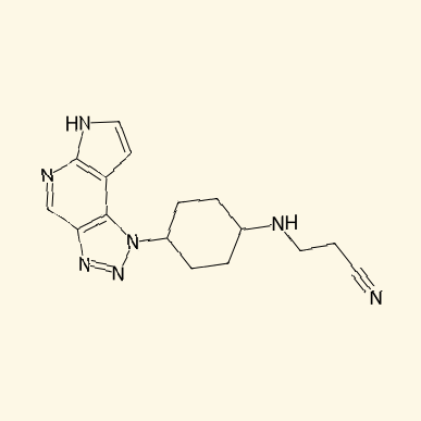 N#CCCNC1CCC(n2nnc3cnc4[nH]ccc4c32)CC1